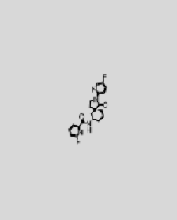 O=C(N[C@H]1CCC[C@]2(CCN(c3ccc(F)cn3)C2=O)C1)c1cccc(F)n1